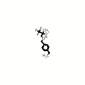 C=Cc1ccc(COCC(C)(O)C(F)(F)F)cc1